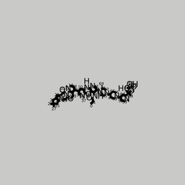 C=CC(=O)Nc1cc(Nc2cc(-c3ccnc(N4CCn5c(cc6c5CC(C)(C)C6)C4=O)c3CO)cn(C)c2=O)ncc1N1CCN(C2CCN(c3ccnc(C(C)(C)OP(=O)(O)O)c3)CC2)C[C@@H]1C